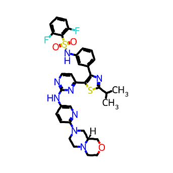 CC(C)c1nc(-c2cccc(NS(=O)(=O)c3c(F)cccc3F)c2)c(-c2ccnc(Nc3ccc(N4CCN5CCOC[C@H]5C4)nc3)n2)s1